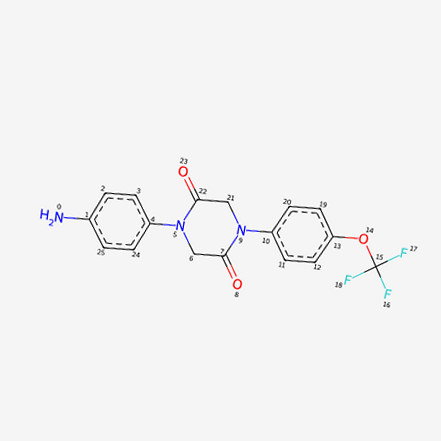 Nc1ccc(N2CC(=O)N(c3ccc(OC(F)(F)F)cc3)CC2=O)cc1